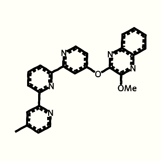 COc1nc2ccccc2nc1Oc1ccnc(-c2cccc(-c3cc(C)ccn3)n2)c1